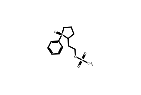 CS(=O)(=O)OCCC1CCCP1(=O)c1ccccc1